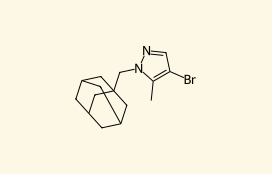 Cc1c(Br)cnn1CC12CC3CC(CC(C3)C1)C2